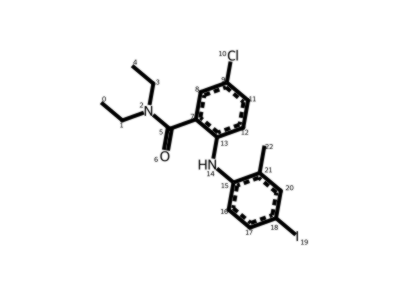 CCN(CC)C(=O)c1cc(Cl)ccc1Nc1ccc(I)cc1C